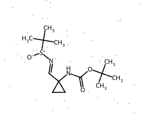 CC(C)(C)OC(=O)NC1(C=N[S+]([O-])C(C)(C)C)CC1